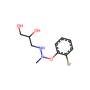 CN(NCC(O)CO)Oc1ccccc1Br